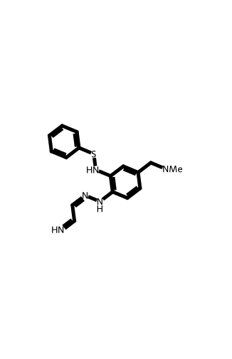 CNCc1ccc(N/N=C\C=N)c(NSc2ccccc2)c1